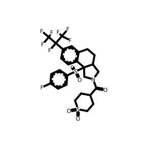 O=C(C1CCS(=O)(=O)CC1)N1CC2CCc3cc(C(F)(C(F)(F)F)C(F)(F)F)ccc3C2(S(=O)(=O)c2ccc(F)cc2)C1